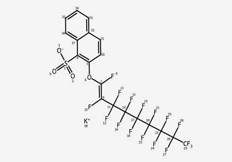 O=S(=O)([O-])c1c(OC(F)=C(F)C(F)(F)C(F)(F)C(F)(F)C(F)(F)C(F)(F)C(F)(F)C(F)(F)F)ccc2ccccc12.[K+]